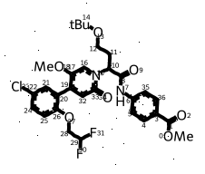 COC(=O)c1ccc(NC(=O)C(CCOC(C)(C)C)n2cc(OC)c(-c3cc(Cl)ccc3OCC(F)F)cc2=O)cc1